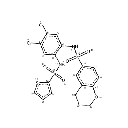 O=S(=O)(Nc1cc(Cl)c(Cl)cc1NS(=O)(=O)c1cccs1)c1ccc2c(c1)CCCO2